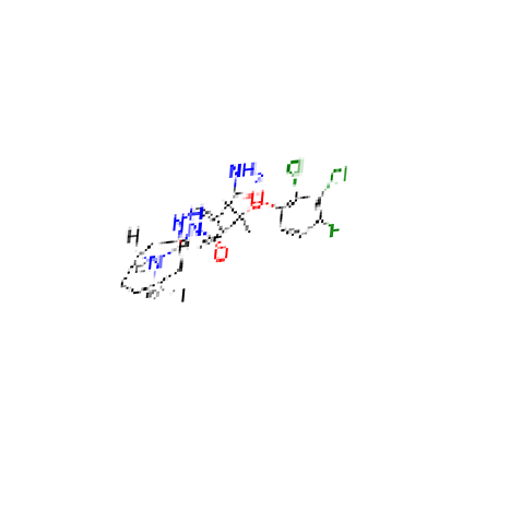 CC(C)(Oc1ccc(F)c(Cl)c1Cl)C(=O)N[C@H]1C[C@H]2CC[C@@H](C1)N2c1ccc(C(N)=O)cn1